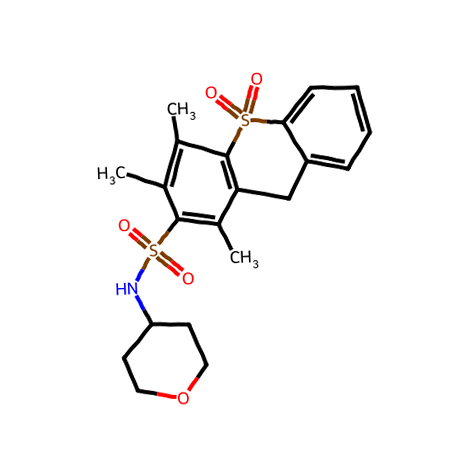 Cc1c(C)c2c(c(C)c1S(=O)(=O)NC1CCOCC1)Cc1ccccc1S2(=O)=O